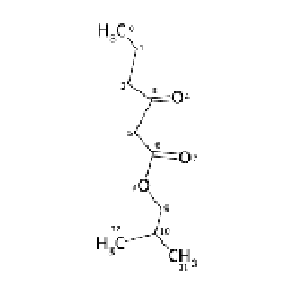 CCCC(=O)CC(=O)OCC(C)C